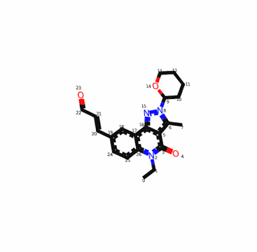 CCn1c(=O)c2c(C)n(C3CCCCO3)nc2c2cc(C=CC=O)ccc21